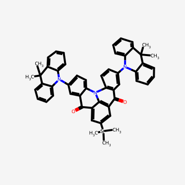 CC1(C)c2ccccc2N(c2ccc3c(c2)c(=O)c2cc([Si](C)(C)C)cc4c(=O)c5cc(N6c7ccccc7C(C)(C)c7ccccc76)ccc5n3c24)c2ccccc21